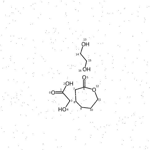 O=C(O)CO.O=C1CCCCCO1.OCCO